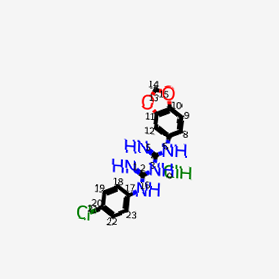 Cl.N=C(NC(=N)Nc1ccc2c(c1)OCO2)Nc1ccc(Cl)cc1